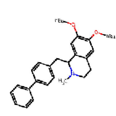 CCCCOc1cc2c(cc1OCCCC)C(Cc1ccc(-c3ccccc3)cc1)N(C)CC2